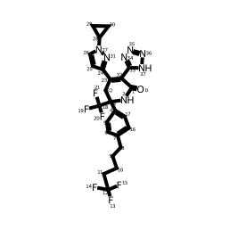 O=C1NC(c2ccc(CCCCC(F)(F)F)cc2)(C(F)(F)F)CC(c2ccn(C3CC3)n2)=C1c1nnn[nH]1